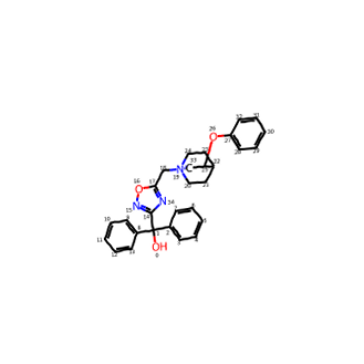 OC(c1ccccc1)(c1ccccc1)c1noc(C[N+]23CCC(CC2)C(Oc2ccccc2)C3)n1